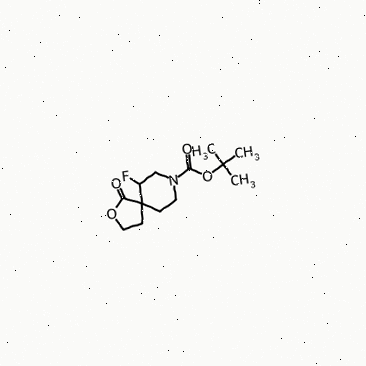 CC(C)(C)OC(=O)N1CCC2(CCOC2=O)C(F)C1